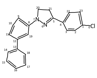 Clc1ccc(C2=NN(c3cccc(-c4ccccc4)c3)CC2)cc1